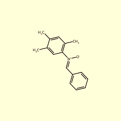 Cc1cc(C)c([N+]([O-])=Cc2ccccc2)cc1C